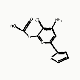 Nc1cc(-c2cccs2)nc(OC(=O)O)c1Cl